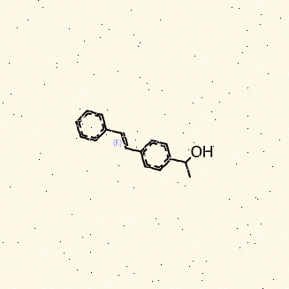 CC(O)c1ccc(/C=C/c2ccccc2)cc1